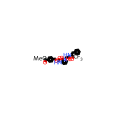 COC(=O)c1ccc(COC(=O)Nc2cccn(CC(=O)NC(Cc3ccccc3)C(O)C(F)(F)F)c2=O)cc1